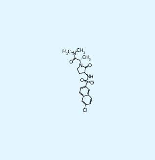 C[C@@H](C(=O)N(C)C)N1CC[C@H](NS(=O)(=O)c2ccc3cc(Cl)ccc3c2)C1=O